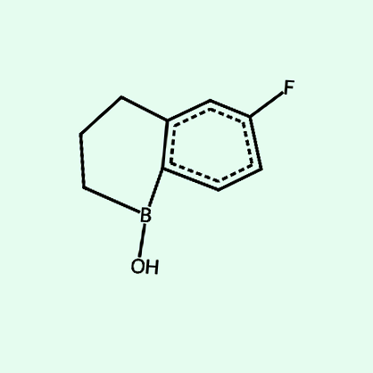 OB1CCCc2cc(F)ccc21